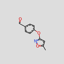 Cc1cc(Oc2ccc(C=O)cc2)no1